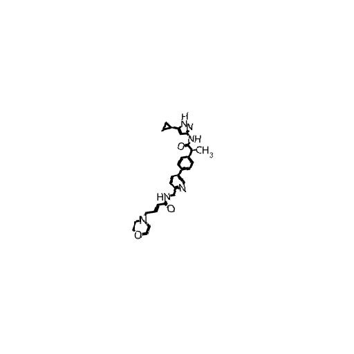 C[C@H](C(=O)Nc1cc(C2CC2)[nH]n1)c1ccc(-c2ccc(CNC(=O)/C=C/CN3CCOCC3)nc2)cc1